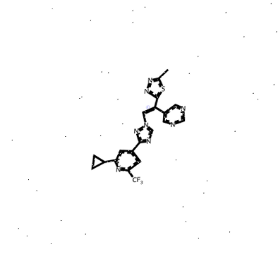 Cc1nnc(/C(=C/n2cnc(-c3cc(C4CC4)nc(C(F)(F)F)c3)n2)c2cncnc2)s1